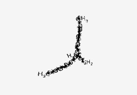 C=CCOCC(C)(COCCOCCOCCOCOCCOC)COCCOCCOCCOCOCCOC